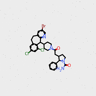 NC(=O)N1CCC(CC(=O)N2CCC(C3c4ncc(Br)cc4CCc4cc(Cl)cc(Cl)c43)CC2)C1c1ccccc1